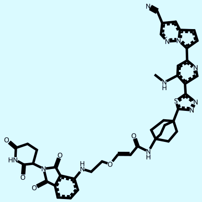 CNc1cc(-c2ccc3cc(C#N)cnn23)ncc1-c1nnc(C23CCC(NC(=O)C=COCCNc4cccc5c4C(=O)N(C4CCC(=O)NC4=O)C5=O)(CC2)CC3)s1